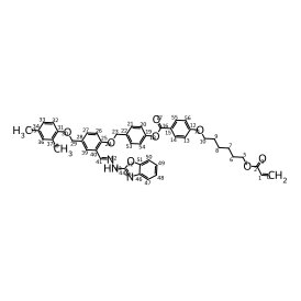 C=CC(=O)OCCCCCCOc1ccc(C(=O)Oc2ccc(COc3ccc(COc4ccc(C)cc4C)cc3/C=N/Nc3nc4ccccc4o3)cc2)cc1